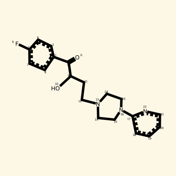 O=C(c1ccc(F)cc1)C(O)CCN1CCN(c2ccccn2)CC1